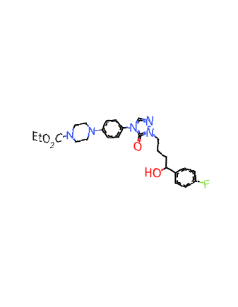 CCOC(=O)N1CCN(c2ccc(-n3cnn(CCCC(O)c4ccc(F)cc4)c3=O)cc2)CC1